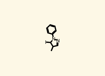 CC1C=NN(c2ccccc2)C1I